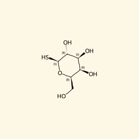 OC[C@H]1O[C@@H](S)[C@H](O)[C@@H](O)[C@H]1O